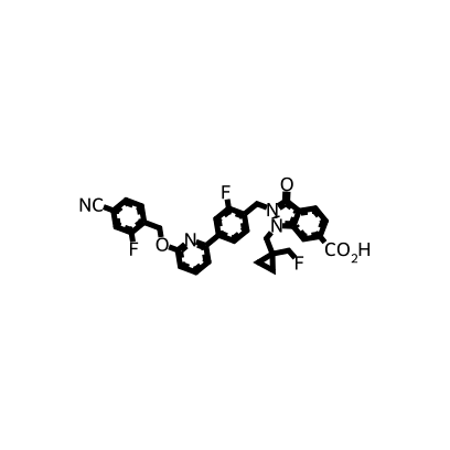 N#Cc1ccc(COc2cccc(-c3ccc(Cn4c(=O)c5ccc(C(=O)O)cc5n4CC4(CF)CC4)c(F)c3)n2)c(F)c1